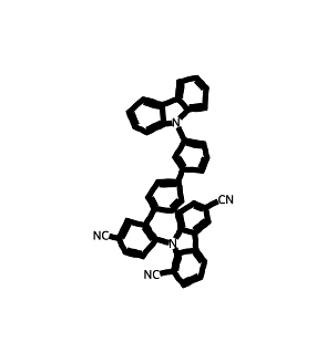 N#Cc1ccc(-n2c3ccc(C#N)cc3c3cccc(C#N)c32)c(-c2ccc(-c3cccc(-n4c5ccccc5c5ccccc54)c3)cc2)c1